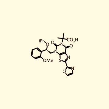 COc1ccccc1[C@H](Cn1c(=O)n(C(C)(C)C(=O)O)c(=O)c2nc(-c3ncco3)sc21)OC(C)C